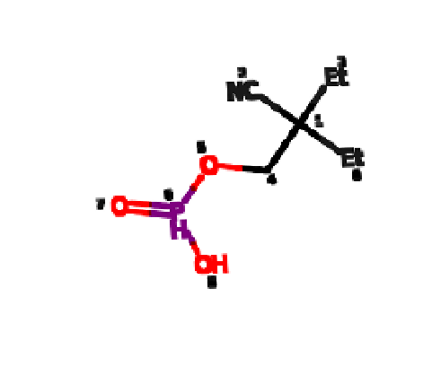 CCC(C#N)(CC)CO[PH](=O)O